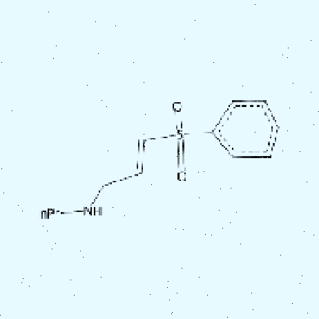 CCCNC/C=C/S(=O)(=O)c1ccccc1